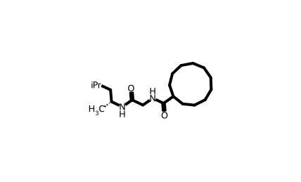 CC(C)C[C@@H](C)NC(=O)CNC(=O)C1CCCCCCCCCC1